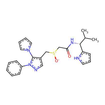 CC(C)[C@@H](NC(=O)C[S@@+]([O-])Cc1cnn(-c2ccccc2)c1-n1cccc1)c1ccc[nH]1